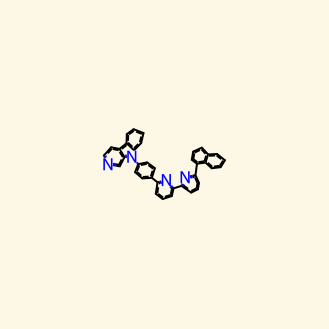 c1cc(-c2ccc(-n3c4ccccc4c4ccncc43)cc2)nc(-c2cccc(-c3cccc4ccccc34)n2)c1